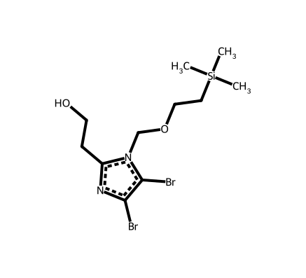 C[Si](C)(C)CCOCn1c(CCO)nc(Br)c1Br